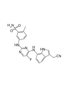 Cc1ccc(Nc2ncc(F)c(Nc3cccc4c(CC#N)c[nH]c34)n2)cc1S(N)(=O)=O